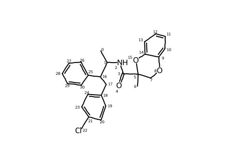 CC(NC(=O)C1(C)COc2ccccc2O1)C(Cc1ccc(Cl)cc1)c1ccccc1